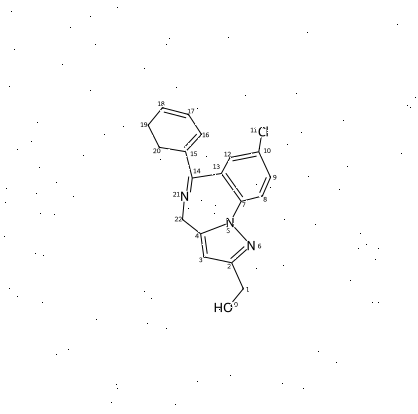 OCc1cc2n(n1)-c1ccc(Cl)cc1C(C1=CC=CCC1)=NC2